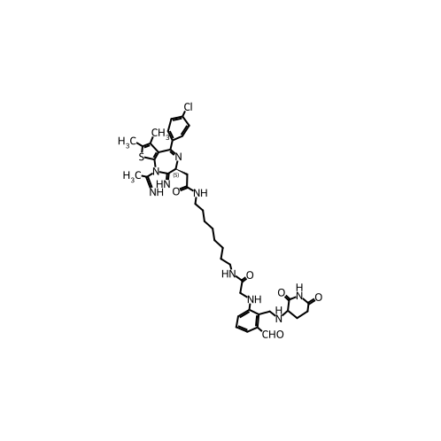 CC(=N)N1C(=N)[C@H](CC(=O)NCCCCCCCCNC(=O)CNc2cccc(C=O)c2CNC2CCC(=O)NC2=O)N=C(c2ccc(Cl)cc2)c2c1sc(C)c2C